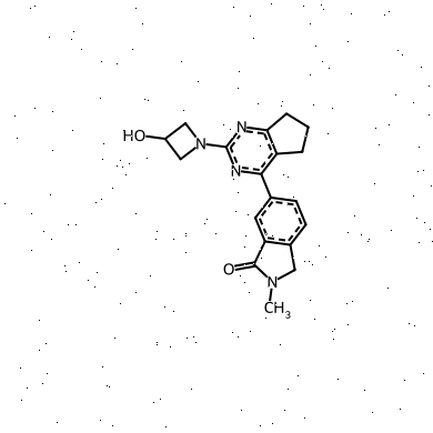 CN1Cc2ccc(-c3nc(N4CC(O)C4)nc4c3CCC4)cc2C1=O